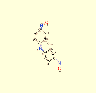 O=Nc1ccc2nc3ccc(N=O)cc3cc2c1